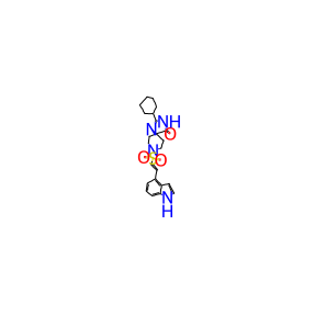 O=C1NC(C2CCCCC2)=NC12CCN(S(=O)(=O)C=Cc1cccc3[nH]ccc13)CC2